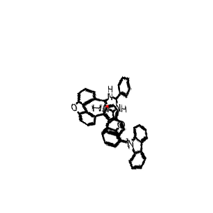 C1=CCC(C2NC(c3ccccc3)NC(c3cccc4oc5cccc(-c6cccc7oc8c(-n9c%10ccccc%10c%10ccccc%109)cccc8c67)c5c34)N2)C=C1